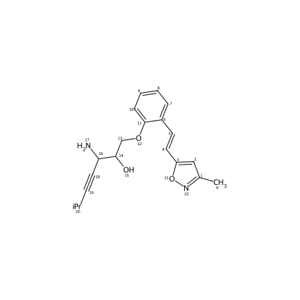 Cc1cc(C=Cc2ccccc2OCC(O)C(N)C#CC(C)C)on1